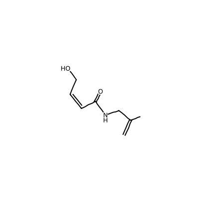 C=C(C)CNC(=O)/C=C\CO